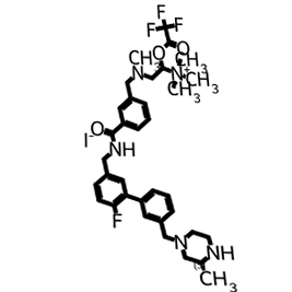 C[C@H]1CN(Cc2cccc(-c3cc(CNC(=O)c4cccc(CN(C)CC(OC(=O)C(F)(F)F)[N+](C)(C)C)c4)ccc3F)c2)CCN1.[I-]